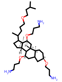 CC(C)CCOCCCC(C)C1CC[C@H]2C3[C@H](OCCCN)CC4C[C@H](OCCCN)CC[C@]4(C)[C@H]3C[C@H](OCCCN)[C@]12C